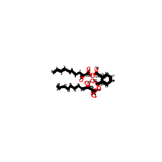 CCCCCCCCC(=O)C(=O)OC(=O)c1ccccc1C(=O)OC(=O)C(=O)CCCCCCCC